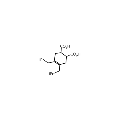 CC(C)CC1=C(CC(C)C)CC(C(=O)O)C(C(=O)O)C1